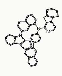 c1ccc2c(c1)Cc1c-2ccnc1N(c1ccc(-c2ccc3ccccc3c2)cc1)c1cccc2ccc(-n3c4ccccc4c4ccccc43)cc12